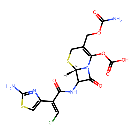 NC(=O)OCC1=C(OC(=O)O)N2C(=O)C(NC(=O)C(=CCl)c3csc(N)n3)[C@@H]2SC1